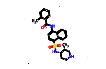 Cc1ccccc1C(=O)Nc1ccc(S(=O)(=O)N[C@H]2CCNC[C@H]2C)c2ccccc12